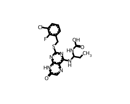 CCC(NC(=O)O)Nc1nc(SCc2cccc(Cl)c2F)nc2[nH]c(=O)cnc12